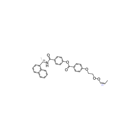 C/C=C\OOCCOc1ccc(C(=O)Oc2ccc(C(=O)N[C@@H](C)c3cccc4ccccc34)cc2)cc1